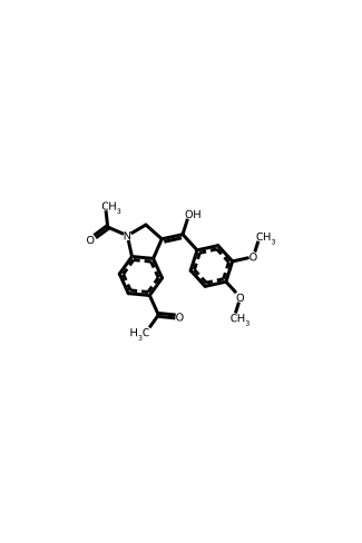 COc1ccc(/C(O)=C2/CN(C(C)=O)c3ccc(C(C)=O)cc32)cc1OC